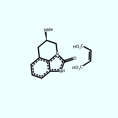 CN[C@@H]1Cc2cccc3[nH]c(=O)n(c23)C1.O=C(O)/C=C\C(=O)O